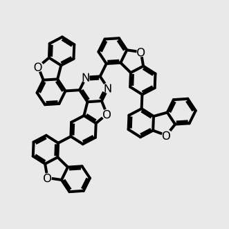 c1ccc2c(c1)oc1cccc(-c3ccc4oc5cccc(-c6nc(-c7cccc8oc9ccccc9c78)c7c(n6)oc6ccc(-c8cccc9oc%10ccccc%10c89)cc67)c5c4c3)c12